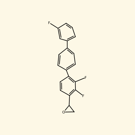 Fc1cccc(-c2ccc(-c3ccc(C4CO4)c(F)c3F)cc2)c1